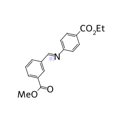 CCOC(=O)c1ccc(/N=C/c2cccc(C(=O)OC)c2)cc1